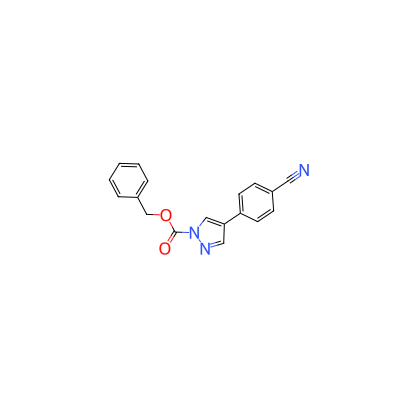 N#Cc1ccc(-c2cnn(C(=O)OCc3ccccc3)c2)cc1